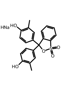 Cc1cc(C2(c3ccc(O)c(C)c3)OS(=O)(=O)c3ccccc32)ccc1O.[NaH]